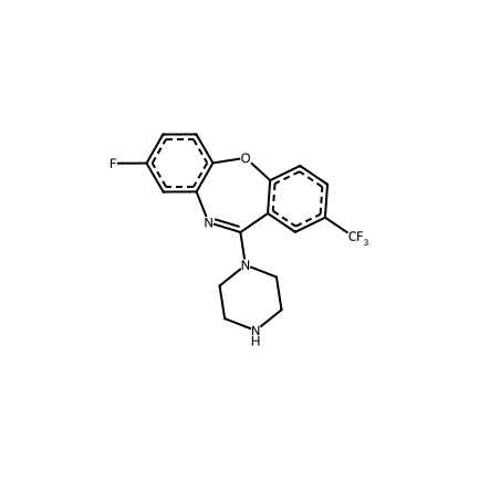 Fc1ccc2c(c1)N=C(N1CCNCC1)c1cc(C(F)(F)F)ccc1O2